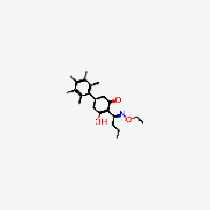 CCCC(=NOCC)C1=C(O)CC(c2c(C)c(C)c(C)c(C)c2C)CC1=O